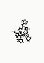 CC(C)(Cc1ccco1)C(/C=C/C1C(OC2CCCCO2)CC(O)C1C/C=C\CCCc1nnn[nH]1)OC1CCCCO1